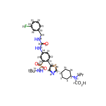 CC(C)N(C(=O)O)[C@H]1CC[C@H](c2ncc(-c3ccc(NC(=O)NCc4cccc(F)c4)cc3S(=O)(=O)NC(C)(C)C)s2)CC1